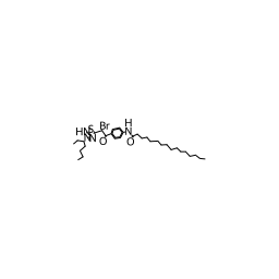 CCCCCCCCCCCCCCCC(=O)Nc1ccc(C(=O)C(Br)C2=NN(C(CC)CCCC)NS2)cc1